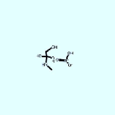 CNC(O)(O)CO.O=[N+]([O-])O